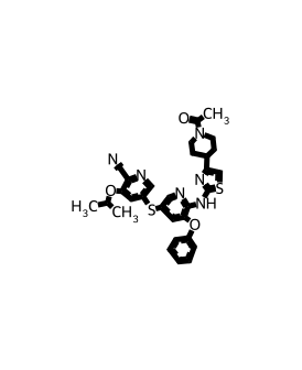 CC(=O)N1CCC(c2csc(Nc3ncc(Sc4cnc(C#N)c(OC(C)C)c4)cc3Oc3ccccc3)n2)CC1